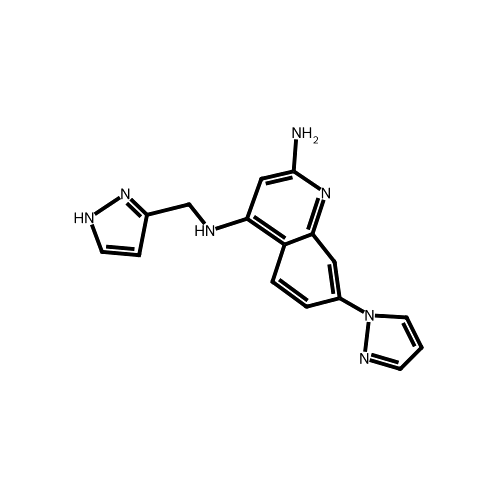 Nc1cc(NCc2cc[nH]n2)c2ccc(-n3cccn3)cc2n1